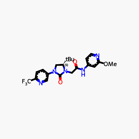 COc1cc(NC(=O)CN2C(=O)N(c3ccc(C(F)(F)F)nc3)C[C@@H]2C(C)(C)C)ccn1